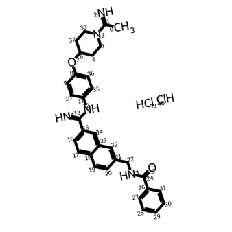 CC(=N)N1CCC(Oc2ccc(NC(=N)c3ccc4ccc(CNC(=O)c5ccccc5)cc4c3)cc2)CC1.Cl.Cl